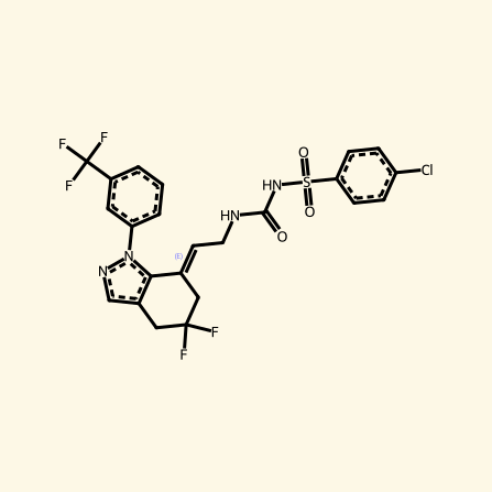 O=C(NC/C=C1\CC(F)(F)Cc2cnn(-c3cccc(C(F)(F)F)c3)c21)NS(=O)(=O)c1ccc(Cl)cc1